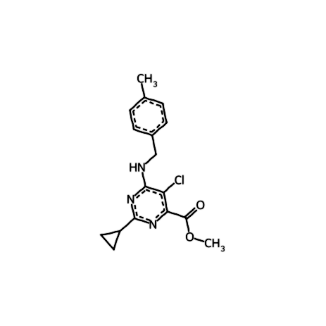 COC(=O)c1nc(C2CC2)nc(NCc2ccc(C)cc2)c1Cl